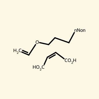 C=COCCCCCCCCCCCC.O=C(O)/C=C\C(=O)O